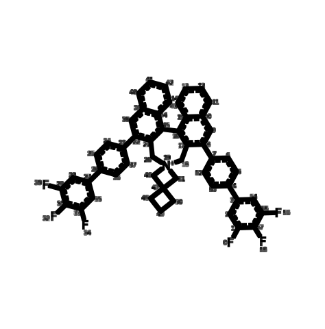 Fc1cc(-c2ccc(-c3cc4ccccc4c4c3C[N+]3(Cc5c(-c6ccc(-c7cc(F)c(F)c(F)c7)cc6)cc6ccccc6c5-4)CC4(CCC4)C3)cc2)cc(F)c1F